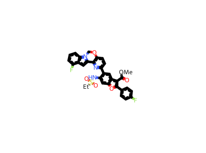 CCS(=O)(=O)Nc1cc2oc(-c3ccc(F)cc3)c(C(=O)OC)c2cc1-c1ccc2c(n1)-c1cc3c(F)cccc3n1CO2